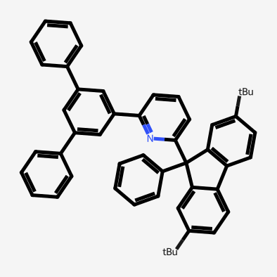 CC(C)(C)c1ccc2c(c1)C(c1ccccc1)(c1cccc(-c3cc(-c4ccccc4)cc(-c4ccccc4)c3)n1)c1cc(C(C)(C)C)ccc1-2